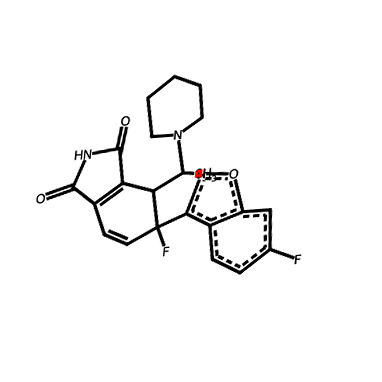 CC(C1C2=C(C=CC1(F)c1noc3cc(F)ccc13)C(=O)NC2=O)N1CCCCC1